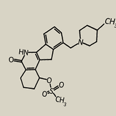 CC1CCN(Cc2cccc3c2Cc2c-3[nH]c(=O)c3c2C(OS(C)(=O)=O)CCC3)CC1